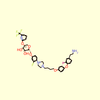 NCCc1ccc(Oc2ccc(OCCCCN3CCN(c4ccc(OC[C@H]5OC[C@H](Oc6cccc(C(F)(F)F)n6)[C@@H](O)[C@H]5O)cc4F)CC3)cc2)c(I)c1